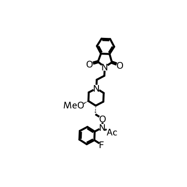 CO[C@@H]1CN(CCN2C(=O)c3ccccc3C2=O)CC[C@@H]1CON(C(C)=O)c1ccccc1F